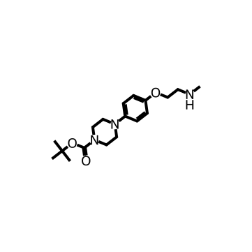 CNCCOc1ccc(N2CCN(C(=O)OC(C)(C)C)CC2)cc1